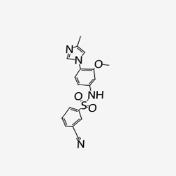 COc1cc(NS(=O)(=O)c2cccc(C#N)c2)ccc1-n1cnc(C)c1